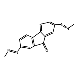 CN=Nc1ccc2c(c1)C(=O)c1cc(N=NC)ccc1-2